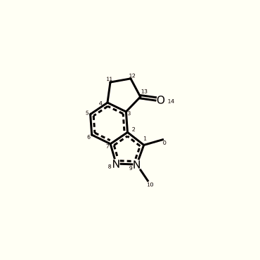 Cc1c2c3c(ccc2nn1C)CCC3=O